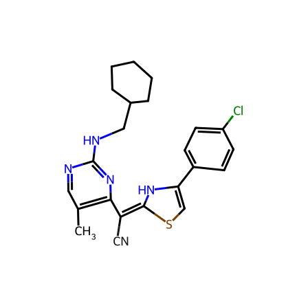 Cc1cnc(NCC2CCCCC2)nc1/C(C#N)=C1\NC(c2ccc(Cl)cc2)=CS1